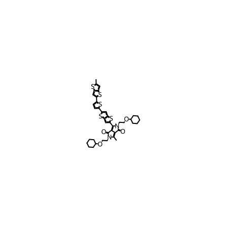 CC1=C2C(=O)N(CCOC3CCCCC3)C(c3cc4sc(-c5ccc(-c6cc7sc(C)cc7s6)s5)cc4s3)=C2C(=O)N1CCOC1CCCCC1